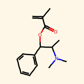 C=C(C)C(=O)OC(c1ccccc1)C(C)N(C)C